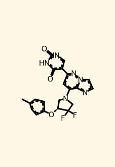 Cc1ccc(O[C@H]2CN(c3cc(-c4c[nH]c(=O)[nH]c4=O)nn4ccnc34)CC2(F)F)cc1